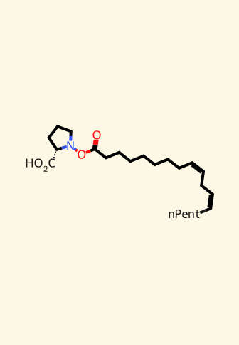 CCCCC/C=C\C/C=C\CCCCCCCC(=O)ON1CCC[C@H]1C(=O)O